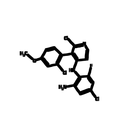 COc1ccc(-c2c(Nc3c(N)cc(Cl)cc3F)ccnc2Cl)c(Cl)c1